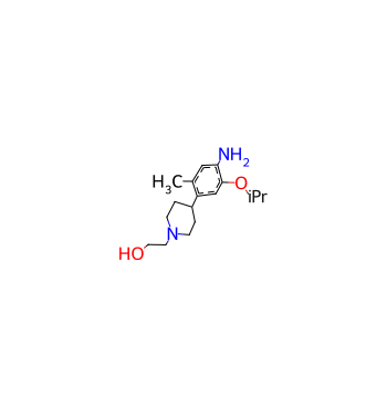 Cc1cc(N)c(OC(C)C)cc1C1CCN(CCO)CC1